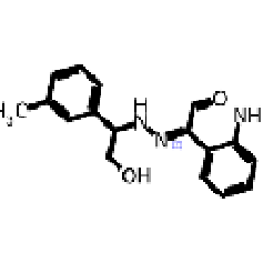 Cc1cccc(C(CO)N/N=C(\C=O)c2ccccc2N)c1